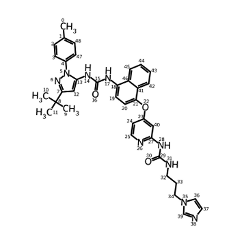 Cc1ccc(-n2nc(C(C)(C)C)cc2NC(=O)Nc2ccc(Oc3ccnc(NC(=O)NCCCn4ccnc4)c3)c3ccccc23)cc1